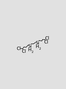 ClC(Cl)CCC[SiH2]CCC[SiH2]CCCC(Cl)Cl